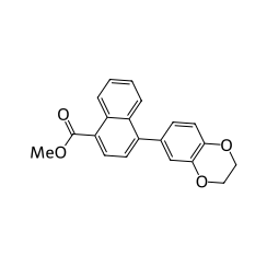 COC(=O)c1ccc(-c2ccc3c(c2)OCCO3)c2ccccc12